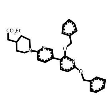 CCOC(=O)CC1CCN(c2ccc(-c3ccc(OCc4ccccc4)nc3OCc3ccccc3)cn2)CC1